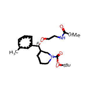 COC(=O)NCCO[C@@H](c1cccc(C)c1)C1CCCN(C(=O)OC(C)(C)C)C1